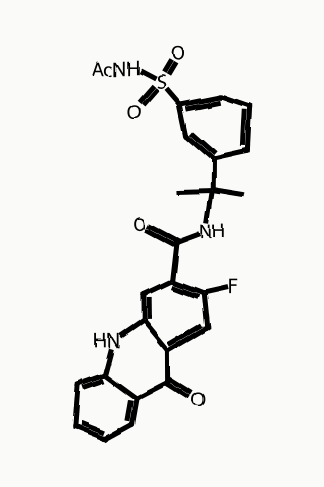 CC(=O)NS(=O)(=O)c1cccc(C(C)(C)NC(=O)c2cc3[nH]c4ccccc4c(=O)c3cc2F)c1